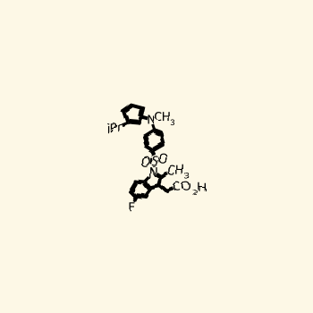 CC(C)c1cccc(N(C)c2ccc(S(=O)(=O)N3c4ccc(F)cc4C(CC(=O)O)C3C)cc2)c1